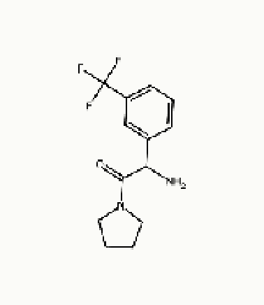 NC(C(=O)N1CCCC1)c1cccc(C(F)(F)F)c1